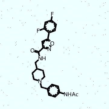 CC(=O)Nc1ccc(CN2CCC(CNC(=O)c3cc(-c4ccc(F)cc4F)on3)CC2)cc1